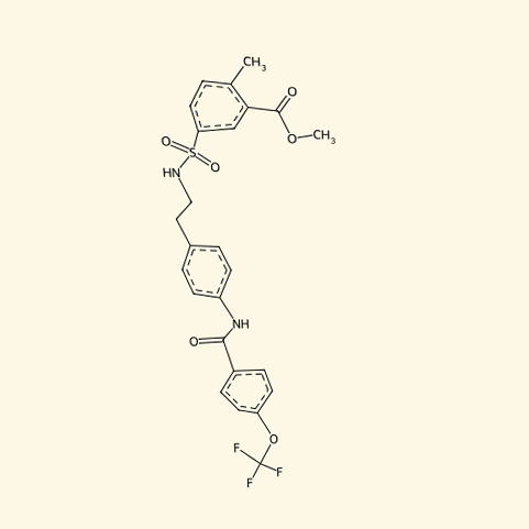 COC(=O)c1cc(S(=O)(=O)NCCc2ccc(NC(=O)c3ccc(OC(F)(F)F)cc3)cc2)ccc1C